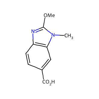 COc1nc2ccc(C(=O)O)cc2n1C